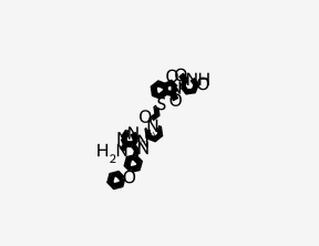 Nc1ncnc2c1c(-c1ccc(Oc3ccccc3)cc1)nn2[C@@H]1CCCN(C(=O)CCSc2cccc3c2C(=O)N(C2CCC(=O)NC2=O)C3=O)C1